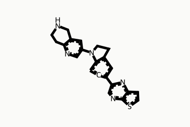 c1cc2nc(-c3ccc4c(c3)CCN4c3cnc4c(c3)CNCC4)cnc2s1